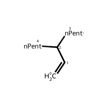 C=CC([CH]CCCC)CCCCC